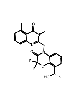 Cc1cccc2nc(CN3C(=O)C(F)(F)Oc4c([C@H](C)O)cccc43)n(C)c(=O)c12